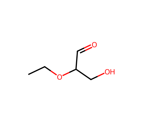 CCOC(C=O)CO